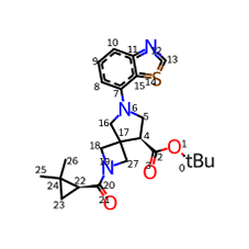 CC(C)(C)OC(=O)[C@@H]1CN(c2cccc3ncsc23)CC12CN(C(=O)[C@H]1CC1(C)C)C2